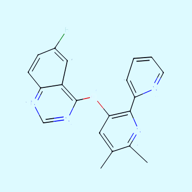 Cc1cc(Oc2ncnc3ccc(Br)cc23)c(-c2ccccn2)nc1C